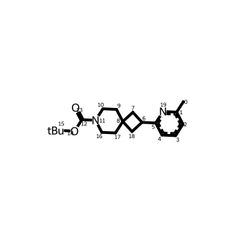 Cc1cccc(C2CC3(CCN(C(=O)OC(C)(C)C)CC3)C2)n1